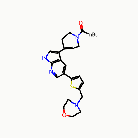 CCCCC(=O)N1CC=C(c2c[nH]c3ncc(-c4ccc(CN5CCOCC5)s4)cc23)CC1